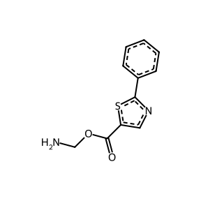 NCOC(=O)c1cnc(-c2ccccc2)s1